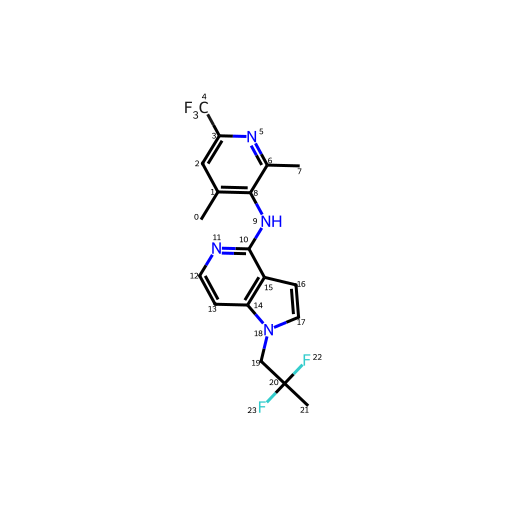 Cc1cc(C(F)(F)F)nc(C)c1Nc1nccc2c1ccn2CC(C)(F)F